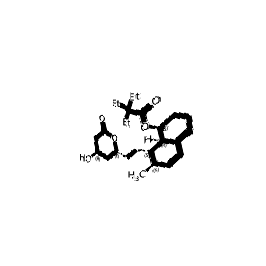 CCC(CC)(CC)C(=O)O[C@H]1CCC=C2C=C[C@@H](C)[C@H](CC[C@@H]3C[C@@H](O)CC(=O)O3)[C@H]21